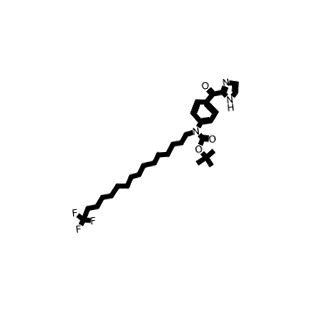 CC(C)(C)OC(=O)N(CCCCCCCCCCCCCCCC(F)(F)F)c1ccc(C(=O)c2ncc[nH]2)cc1